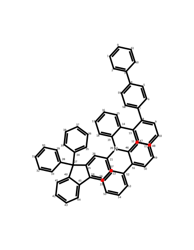 c1ccc(-c2ccc(-c3ccccc3-c3ccccc3N(c3ccc4c(c3)C(c3ccccc3)(c3ccccc3)c3ccccc3-4)c3ccccc3-c3ccccc3)cc2)cc1